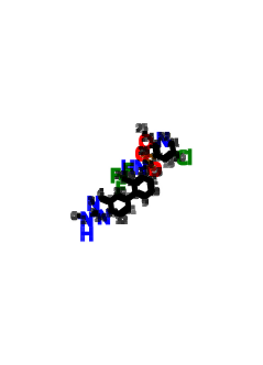 CNc1ncc2cc(-c3cccc(NS(=O)(=O)c4cc(Cl)cnc4OC)c3C(F)(F)F)ccc2n1